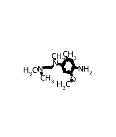 COc1cc(N(C)CCN(C)C)c(C)cc1N